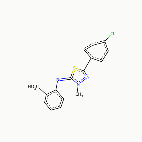 Cn1nc(-c2ccc(Cl)cc2)s/c1=N/c1ccccc1C(=O)O